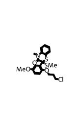 COc1ccc(OCCCCl)c(C2(SC)Sc3ccccc3N(C)C2=O)c1